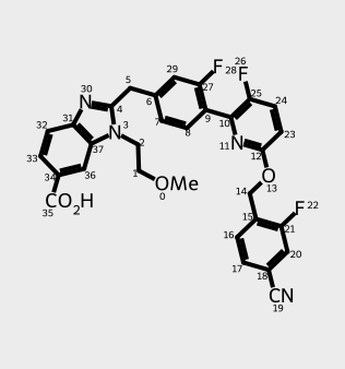 COCCn1c(Cc2ccc(-c3nc(OCc4ccc(C#N)cc4F)ccc3F)c(F)c2)nc2ccc(C(=O)O)cc21